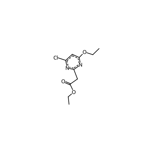 CCOC(=O)Cc1nc(Cl)cc(OCC)n1